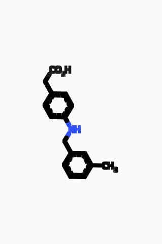 Cc1cccc(CNc2ccc(CC(=O)O)cc2)c1